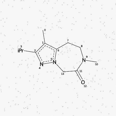 Cc1c(C(C)C)nn2c1CCN(C)C(=O)C2